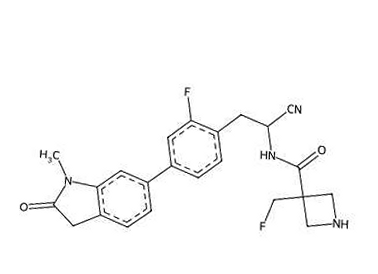 CN1C(=O)Cc2ccc(-c3ccc(CC(C#N)NC(=O)C4(CF)CNC4)c(F)c3)cc21